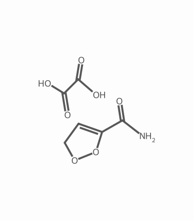 NC(=O)C1=CCOO1.O=C(O)C(=O)O